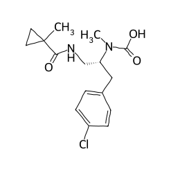 CN(C(=O)O)[C@@H](CNC(=O)C1(C)CC1)Cc1ccc(Cl)cc1